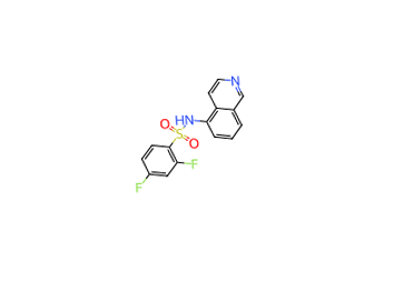 O=S(=O)(Nc1cccc2cnccc12)c1ccc(F)cc1F